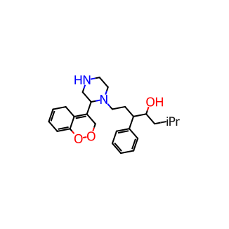 CC(C)CC(O)C(CCN1CCNCC1C1=C2CC=CC=C2OOC1)c1ccccc1